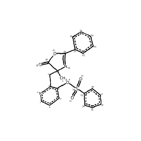 CC1(Cc2ncccc2OS(=O)(=O)c2ccccc2)N=C(c2ccccc2)OC1=O